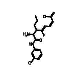 C=C(Cl)/C=C\C=C(/F)C(CCC)C(N)C(=O)Nc1cccc(Cl)c1